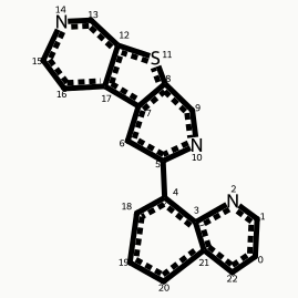 c1cnc2c(-c3cc4c(cn3)sc3cnccc34)cccc2c1